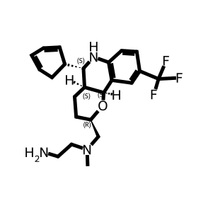 CN(CCN)C[C@H]1CC[C@@H]2[C@H](O1)c1cc(C(F)(F)F)ccc1N[C@H]2C1C=CC=CC1